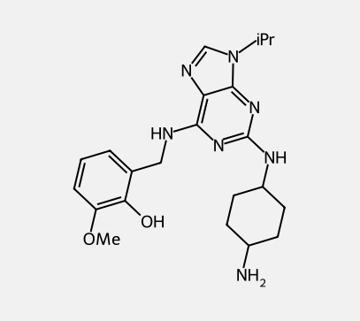 COc1cccc(CNc2nc(NC3CCC(N)CC3)nc3c2ncn3C(C)C)c1O